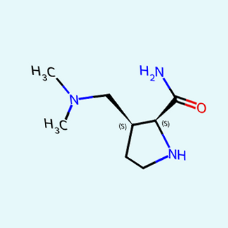 CN(C)C[C@@H]1CCN[C@@H]1C(N)=O